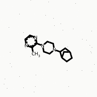 Cc1nccnc1N1CCN(C2CC3CCC2C3)CC1